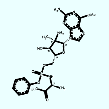 COc1nc(N)nc2c1ncn2[C@@H]1O[C@H](COP(=O)(N[C@@H](C)C(=O)OCC(C)C)Oc2ccccc2)[C@@H](O)[C@@]1(C)N